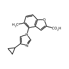 Cc1ccc2oc(C(=O)O)cc2c1-n1cnc(C2CC2)c1